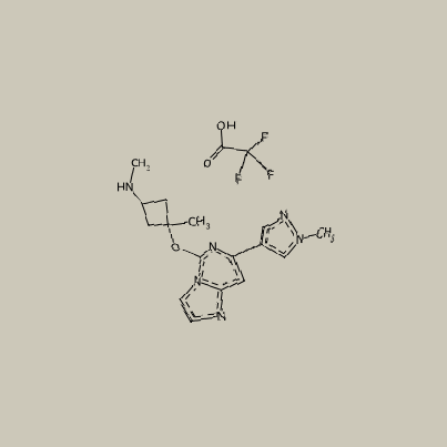 CNC1CC(C)(Oc2nc(-c3cnn(C)c3)cc3nccn23)C1.O=C(O)C(F)(F)F